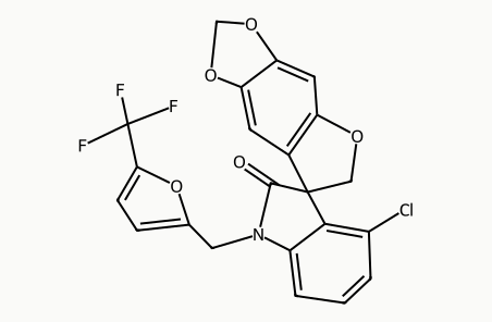 O=C1N(Cc2ccc(C(F)(F)F)o2)c2cccc(Cl)c2C12COc1cc3c(cc12)OCO3